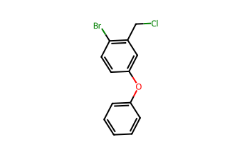 ClCc1cc(Oc2ccccc2)ccc1Br